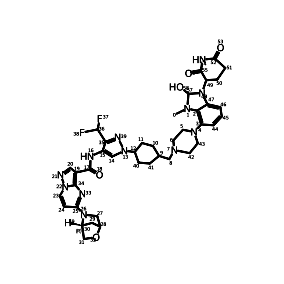 CN1c2c(N3CCN(CC4CCC(n5cc(NC(=O)c6cnn7ccc(N8CC9C[C@@H]8CO9)nc67)c(C(F)F)n5)CC4)CC3)cccc2N(C2CCC(=O)NC2=O)C1O